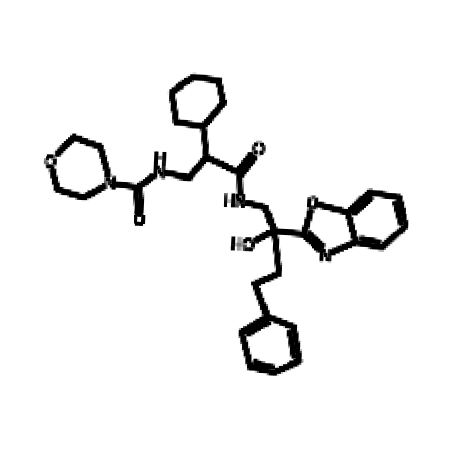 O=C(NCC(O)(CCc1ccccc1)c1nc2ccccc2o1)C(CNC(=O)N1CCOCC1)C1CCCCC1